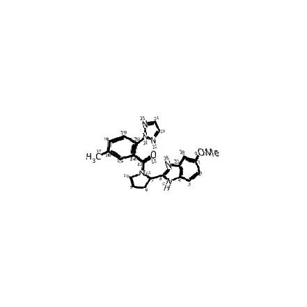 COc1ccc2[nH]c(C3CCCN3C(=O)c3cc(C)ccc3-n3nccn3)nc2c1